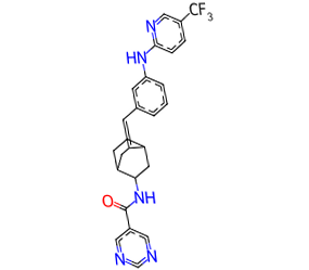 O=C(NC1CC2CCC1CC2=Cc1cccc(Nc2ccc(C(F)(F)F)cn2)c1)c1cncnc1